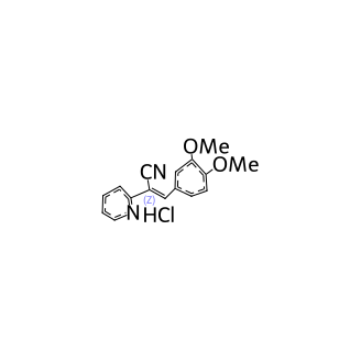 COc1ccc(/C=C(\C#N)c2ccccn2)cc1OC.Cl